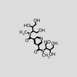 CN(C(=O)c1cncc(C(=O)N(C)C(CO)C(O)CO)c1)C(CO)C(O)CO